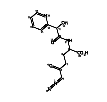 [N-]=[N+]=CC(=O)CCC(NC(=O)C(O)c1ccccn1)C(=O)O